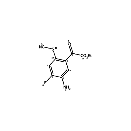 CCOC(=O)C(=O)c1cc(N)c(F)cc1SC#N